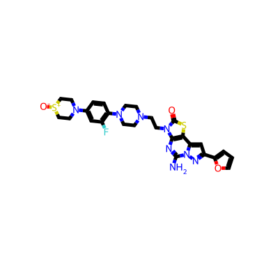 Nc1nc2c(sc(=O)n2CCN2CCN(c3ccc(N4CC[S+]([O-])CC4)cc3F)CC2)c2cc(-c3ccco3)nn12